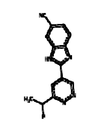 CC(F)c1cc(-c2nc3ccc(C#N)cc3[nH]2)cnn1